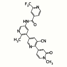 Cc1ncc(NC(=O)c2ccnc(C(F)(F)F)c2)cc1-c1cnc(-c2ccn(C)c(=O)c2)c(C#N)c1